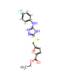 CCOC(=O)c1ccc(CSc2nnc(Nc3ccc(F)cc3)[nH]2)o1